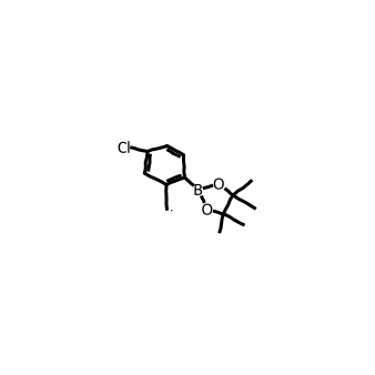 [CH2]c1cc(Cl)ccc1B1OC(C)(C)C(C)(C)O1